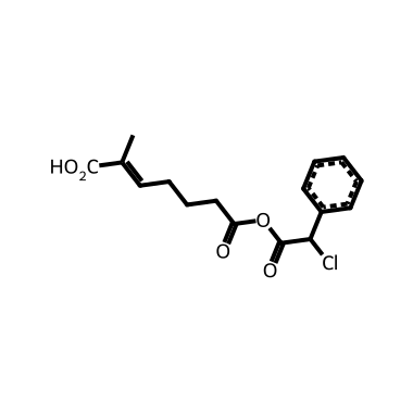 CC(=CCCCC(=O)OC(=O)C(Cl)c1ccccc1)C(=O)O